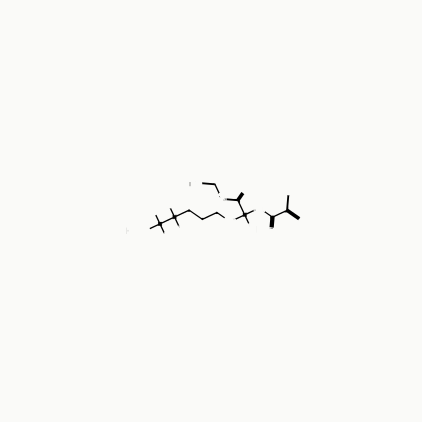 C=C(C)C(=O)OC(OCCCC(F)(F)C(F)(F)S(=O)(=O)O)(C(=O)NCC(C)C)C(F)(F)F